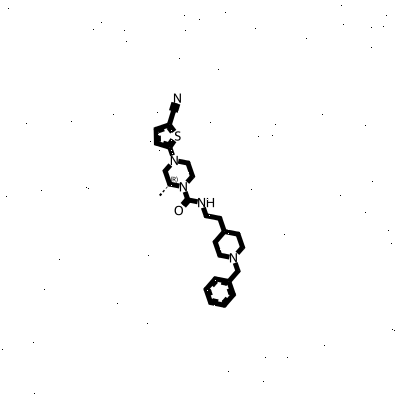 C[C@@H]1CN(c2ccc(C#N)s2)CCN1C(=O)NCCC1CCN(Cc2ccccc2)CC1